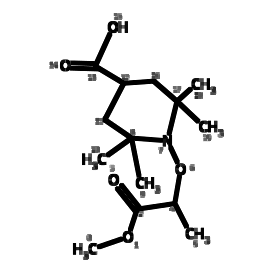 COC(=O)C(C)ON1C(C)(C)CC(C(=O)O)CC1(C)C